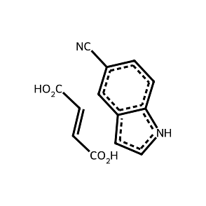 N#Cc1ccc2[nH]ccc2c1.O=C(O)/C=C/C(=O)O